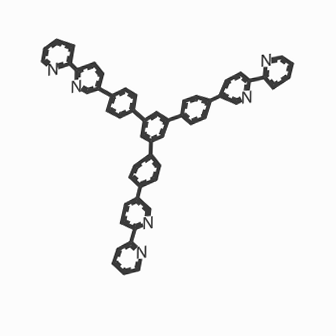 c1ccc(-c2ccc(-c3ccc(-c4cc(-c5ccc(-c6ccc(-c7ccccn7)nc6)cc5)cc(-c5ccc(-c6ccc(-c7ccccn7)nc6)cc5)c4)cc3)cn2)nc1